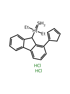 C[CH2][Hf](=[SiH2])([CH2]C)[CH]1c2ccccc2-c2cccc(C3=CC=CC3)c21.Cl.Cl